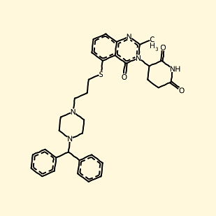 Cc1nc2cccc(SCCCN3CCN(C(c4ccccc4)c4ccccc4)CC3)c2c(=O)n1C1CCC(=O)NC1=O